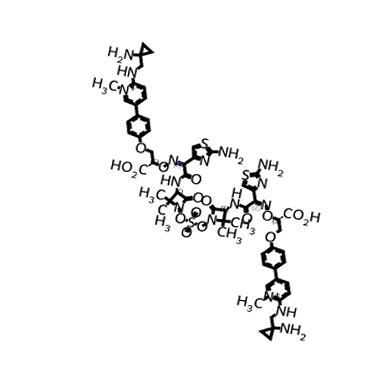 C[n+]1cc(-c2ccc(OC[C@H](O/N=C(\C(=O)N[C@@H]3C(=O)N(OS(=O)(=O)ON4C(=O)[C@@H](NC(=O)/C(=N\O[C@@H](COc5ccc(-c6ccc(NCC7(N)CC7)[n+](C)c6)cc5)C(=O)O)c5csc(N)n5)C4(C)C)C3(C)C)c3csc(N)n3)C(=O)O)cc2)ccc1NCC1(N)CC1